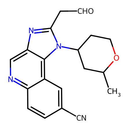 CC1CC(n2c(CC=O)nc3cnc4ccc(C#N)cc4c32)CCO1